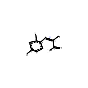 C=C(Cl)/C(C)=C\c1ccc(C)cc1C